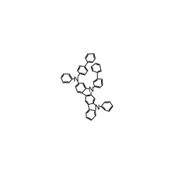 c1ccc(-c2ccc(N(c3ccccc3)c3ccc4c5cc6c7ccccc7n(-c7ccccc7)c6cc5n(-c5cccc(-c6ccccc6)c5)c4c3)cc2)cc1